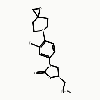 CC(=O)NC[C@@H]1CN(c2ccc(N3CCC4(CC3)CO4)c(F)c2)C(=O)O1